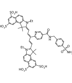 CCN1/C(=C/C=C(/C=C/C2=[N+](CC)c3ccc4c(S(=O)(=O)O)cc(S(=O)(=O)O)cc4c3C2(C)C)c2ccc(C(=O)NCc3ccc(S(N)(=O)=O)cc3)cn2)C(C)(C)c2c1ccc1c(S(=O)(=O)O)cc(S(=O)(=O)O)cc21